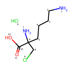 Cl.NCCCCC(N)(CCl)C(=O)O